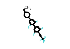 C=CC1CCC(c2cc(F)c(-c3cc(F)c(C#CC(F)(F)F)c(F)c3)c(F)c2)CC1